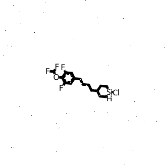 Fc1cc(CCCCC2CC[SiH](Cl)CC2)cc(F)c1OC(F)F